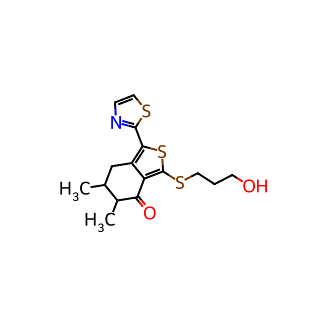 CC1Cc2c(-c3nccs3)sc(SCCCO)c2C(=O)C1C